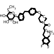 CS[C@H]1O[C@@H](c2cccc(Cc3ccc(OC4CCN(C(=O)C[C@H](N)Cc5cc(F)c(F)cc5F)CC4)cc3)c2)[C@H](O)[C@@H](O)[C@@H]1O